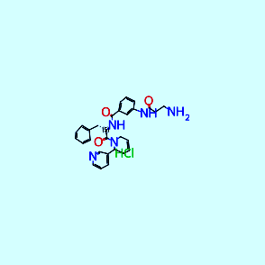 Cl.NCCC(=O)Nc1cccc(C(=O)N[C@@H](Cc2ccccc2)C(=O)N2CC=CCC2c2cccnc2)c1